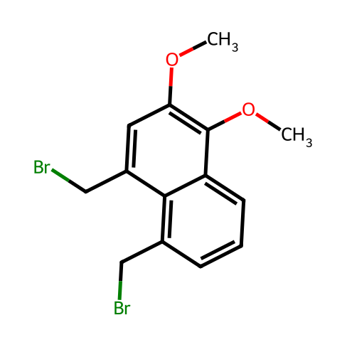 COc1cc(CBr)c2c(CBr)cccc2c1OC